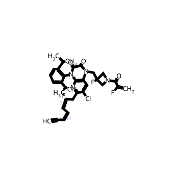 C#C/C=C\C=C(\F)Cc1nc2c(cc1Cl)n(CC1(F)CN(C(=O)C(=C)F)C1)c(=O)c(=O)n2-c1c(C(C)C)cccc1C(C)C